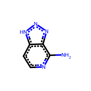 Nc1nccc2[nH]nnc12